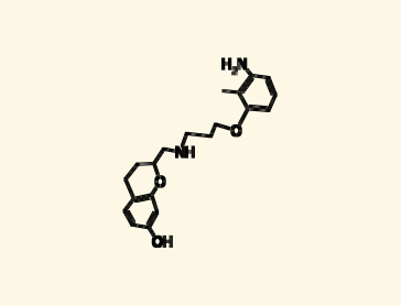 Cc1c(N)cccc1OCCCNCC1CCc2ccc(O)cc2O1